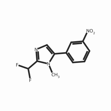 Cn1c(-c2cccc([N+](=O)[O-])c2)cnc1C(F)F